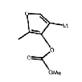 CCc1coc(C)c1OC(=O)OC